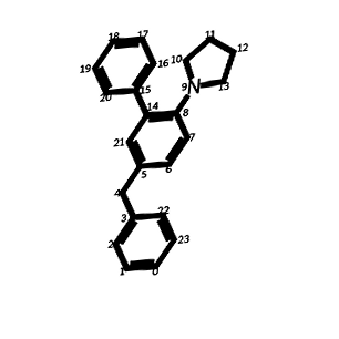 c1ccc(Cc2ccc(N3CCCC3)c(-c3ccccc3)c2)cc1